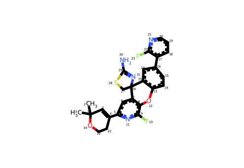 CC1(C)C=C(c2cc3c(c(F)n2)Oc2ccc(-c4cccnc4F)cc2C32CSC(N)=N2)CCO1